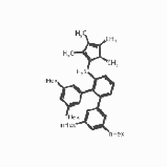 CCCCCCc1cc(CCCCCC)cc(-c2cccc([SiH2]C3=C(C)C(C)=C(C)C3C)c2-c2cc(CCCCCC)cc(CCCCCC)c2)c1